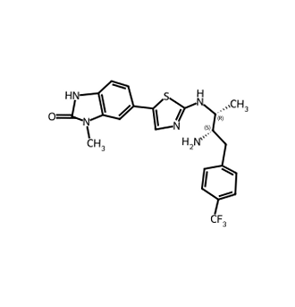 C[C@@H](Nc1ncc(-c2ccc3[nH]c(=O)n(C)c3c2)s1)[C@@H](N)Cc1ccc(C(F)(F)F)cc1